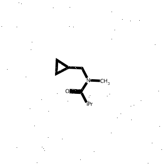 CC(C)C(=O)N(C)CC1CC1